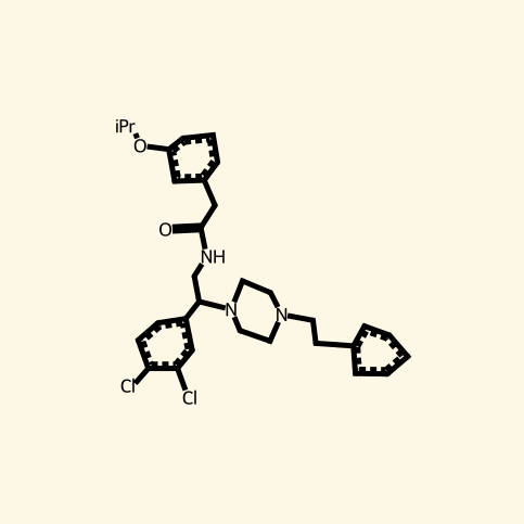 CC(C)Oc1cccc(CC(=O)NCC(c2ccc(Cl)c(Cl)c2)N2CCN(CCc3ccccc3)CC2)c1